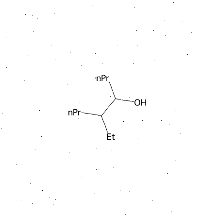 CC[CH]C(O)C(CC)CCC